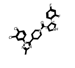 Cc1nc(C2CCN(C(=O)[C@@H]3CNC[C@H]3c3ccc(F)cc3F)CC2)n(-c2ccc(Cl)c(Cl)c2)n1